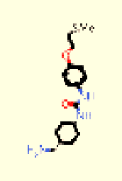 CSCCOc1ccc(NC(=O)N[C@H]2CC[C@@H](CN)CC2)cc1